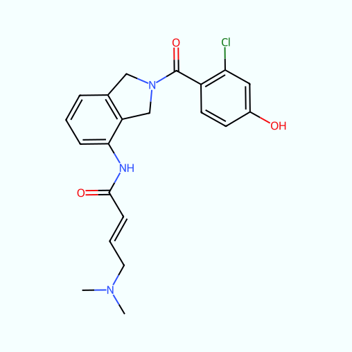 CN(C)C/C=C/C(=O)Nc1cccc2c1CN(C(=O)c1ccc(O)cc1Cl)C2